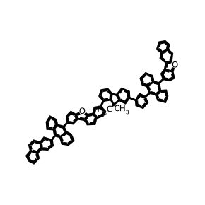 CC1(C)c2cc(-c3cccc(-c4c5ccccc5c(-c5ccc6oc7cc8ccccc8cc7c6c5)c5ccccc45)c3)ccc2-c2cccc(-c3ccc4ccc5c6cc(-c7c8ccccc8c(-c8ccc9c(ccc%10ccccc%109)c8)c8ccccc78)ccc6oc5c4c3)c21